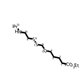 CCOC(=O)CCCCOCSSCCNC(C)C